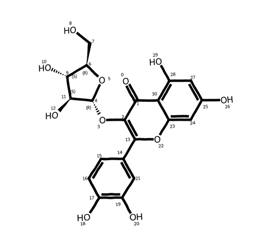 O=c1c(O[C@H]2O[C@H](CO)[C@@H](O)[C@@H]2O)c(-c2ccc(O)c(O)c2)oc2cc(O)cc(O)c12